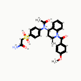 COc1ccc(C(=O)N2c3ccccc3[C@H](N(C(C)=O)c3ccc(S(=O)(=O)CC(N)=O)cc3)C[C@@H]2C)cc1